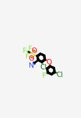 N#Cc1c(S(=O)(=O)C(F)(F)F)ccc(Oc2cc(F)cc(Cl)c2)c1Cl